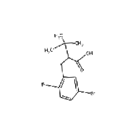 CC(C)(C)C(Cc1cc(Br)ccc1F)C(=O)O